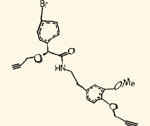 C#CCOc1ccc(CCNC(=O)[C@@H](OCC#C)c2ccc(Br)cc2)cc1OC